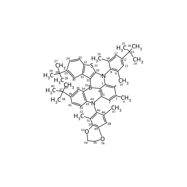 Cc1cc2c3c(c1)N(c1c(C)cc(C(C)(C)C)cc1C)c1sc4ccc(C(C)(C)C)cc4c1B3c1cc(C(C)(C)C)ccc1N2c1c(C)cc2c(c1C)OCCO2